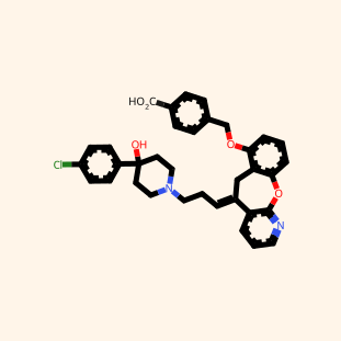 O=C(O)c1ccc(COc2cccc3c2CC(=CCCN2CCC(O)(c4ccc(Cl)cc4)CC2)c2cccnc2O3)cc1